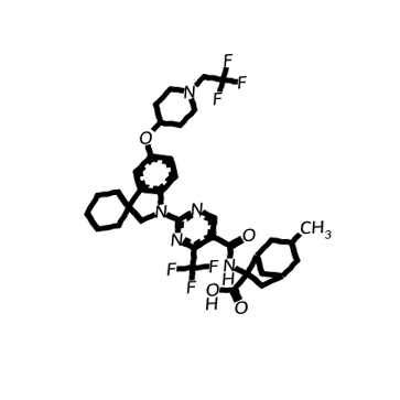 CC1CC2CC(C1)C(NC(=O)c1cnc(N3CC4(CCCCC4)c4cc(OC5CCN(CC(F)(F)F)CC5)ccc43)nc1C(F)(F)F)(C(=O)O)C2